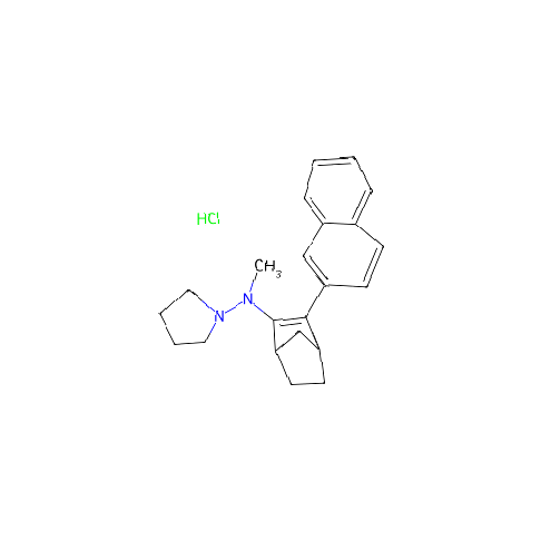 CN(C1=C(c2ccc3ccccc3c2)C2CCC1C2)N1CCCC1.Cl